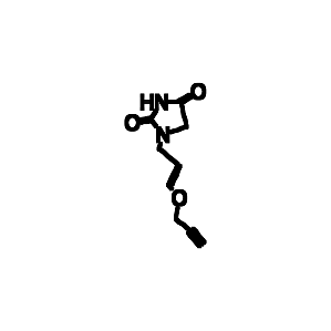 C#CCOC=CCN1CC(=O)NC1=O